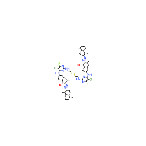 Cc1cc2cc(Nc3nc(NCCSSCCNc4nc(F)c(Cl)c(Nc5ccc6c(O)c(/N=N/c7ccc8c(C)cccc8c7C)c(C)cc6c5)n4)nc(F)c3Cl)ccc2c(O)c1/N=N/c1ccc2c(C)cccc2c1C